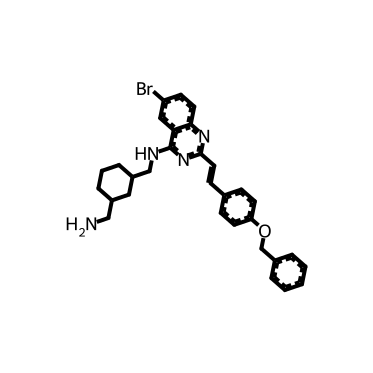 NCC1CCCC(CNc2nc(C=Cc3ccc(OCc4ccccc4)cc3)nc3ccc(Br)cc23)C1